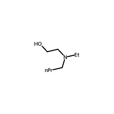 [CH2]CN(CCO)CCCC